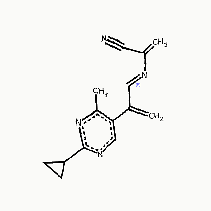 C=C(C#N)/N=C/C(=C)c1cnc(C2CC2)nc1C